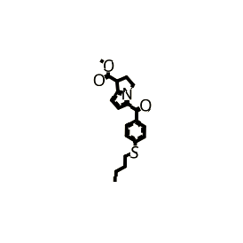 CCCCSc1ccc(C(=O)c2ccc3n2CCC3C(=O)OC)cc1